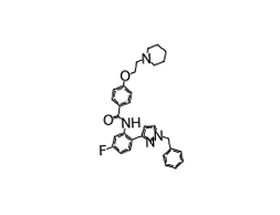 O=C(Nc1cc(F)ccc1-c1ccn(Cc2ccccc2)n1)c1ccc(OCCN2CCCCC2)cc1